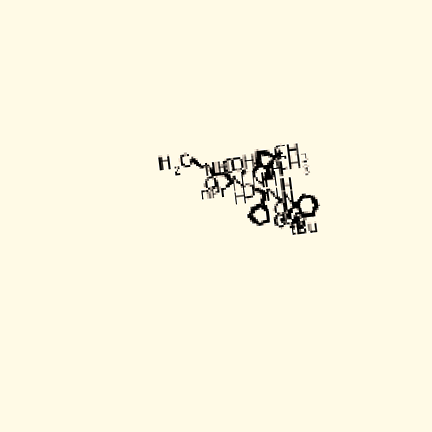 C=CCNC(=O)C(=O)C(CCC)NC(=O)[C@@H]1[C@H]2CCC(C)(C)[C@H]2CN1C(=O)[C@@H](NC(=O)NC1(CS(=O)(=O)C(C)(C)C)CCCCC1)C1CCCCC1